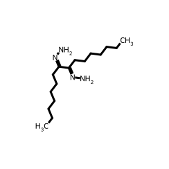 CCCCCCCC(=N/N)/C(CCCCCCC)=N/N